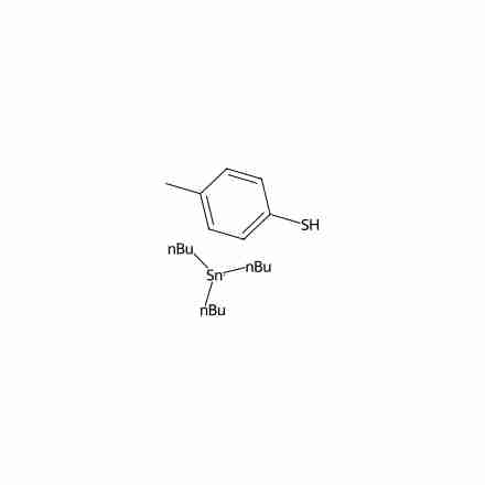 CCC[CH2][Sn]([CH2]CCC)[CH2]CCC.Cc1ccc(S)cc1